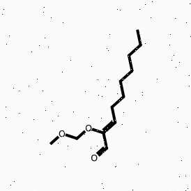 CCCCCCCC=C(C=O)OCOC